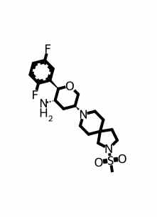 CS(=O)(=O)N1CCC2(CCN([C@H]3CO[C@H](c4cc(F)ccc4F)[C@@H](N)C3)CC2)C1